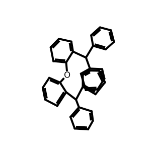 c1ccc(C(c2ccccc2)c2ccccc2Oc2ccccc2C(c2ccccc2)c2ccccc2)cc1